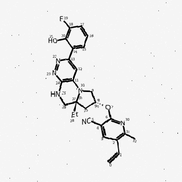 C=Cc1cc(C#N)c(O[C@H]2CN3c4cc(-c5cccc(F)c5O)nnc4NC[C@@]3(CC)C2)nc1C